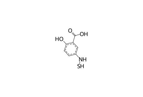 O=C(O)c1cc(NS)ccc1O